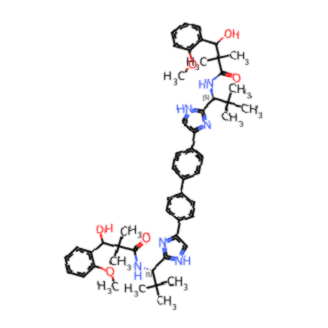 COc1ccccc1C(O)C(C)(C)C(=O)N[C@H](c1nc(-c2ccc(-c3ccc(-c4c[nH]c([C@@H](NC(=O)C(C)(C)C(O)c5ccccc5OC)C(C)(C)C)n4)cc3)cc2)c[nH]1)C(C)(C)C